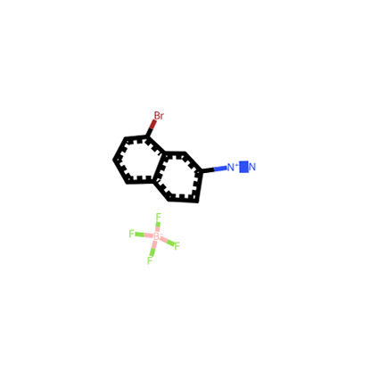 F[B-](F)(F)F.N#[N+]c1ccc2cccc(Br)c2c1